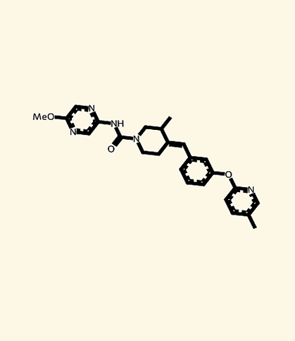 COc1cnc(NC(=O)N2CCC(=Cc3cccc(Oc4ccc(C)cn4)c3)C(C)C2)cn1